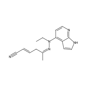 CCN(/N=C(/C)C/C=C/C#N)c1ccnc2[nH]ccc12